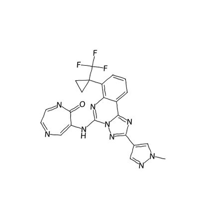 Cn1cc(-c2nc3c4cccc(C5(C(F)(F)F)CC5)c4nc(Nc4cnccnc4=O)n3n2)cn1